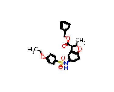 CCOc1ccc(S(=O)(=O)Nc2ccc3oc(C)c(C(=O)OCc4ccccc4)c3c2)cc1